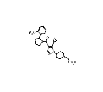 O=C(O)CN1CCC(n2ncc(C(=O)N3CCCC3c3ccccc3C(F)(F)F)c2C2CC2)CC1